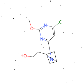 COc1nc(Cl)cc(N2CC3CC2(CCO)C3)n1